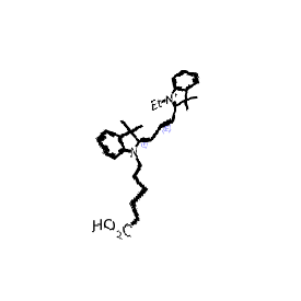 CC[N+]1=C(/C=C/C=C2/N(CCCCCC(=O)O)c3ccccc3C2(C)C)C(C)(C)c2ccccc21